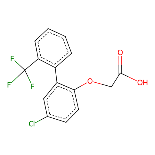 O=C(O)COc1ccc(Cl)cc1-c1ccccc1C(F)(F)F